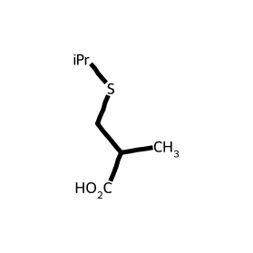 CC(C)SCC(C)C(=O)O